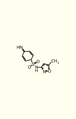 Cc1cc(NS(=O)(=O)C2C=CC(=N)C=C2)no1